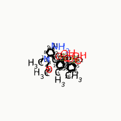 CCN(CCOC)c1ccc(N)cc1C.Cc1ccc(S(=O)(=O)O)cc1.Cc1ccc(S(=O)(=O)O)cc1